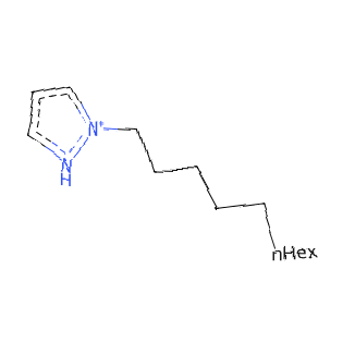 CCCCCCCCCCC[n+]1ccc[nH]1